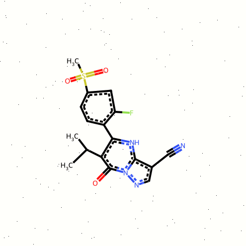 CC(C)c1c(-c2ccc(S(C)(=O)=O)cc2F)[nH]c2c(C#N)cnn2c1=O